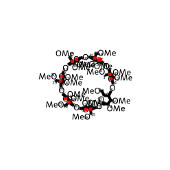 COCC1OC2OC3C(COC)OC(OC4C(COC)OC(OC5C(COC)OC(OC6C(COC)OC(OC7C(COC)OC(OC8C(COC)OC(OC1C(OC)C2OC)C(OC)C8OC)C(OC)C7OC)C(OC)C6OC)C(OC)C5OC)C(OC)C4OC)C(OC)C3OC